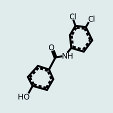 O=C(Nc1ccc(Cl)c(Cl)c1)c1ccc(O)cc1